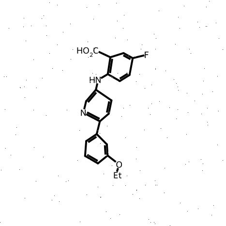 CCOc1cccc(-c2ccc(Nc3ccc(F)cc3C(=O)O)cn2)c1